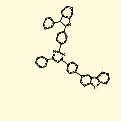 c1ccc(-c2cc(-c3ccc(-c4ccc5oc6ccccc6c5c4)cc3)nc(-c3ccc(C4=Nc5ccccc5C4c4ccccc4)cc3)n2)cc1